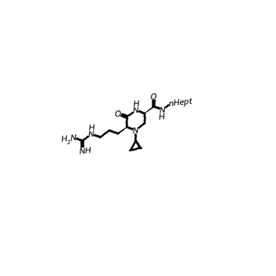 CCCCCCCNC(=O)[C@H]1CN(C2CC2)[C@@H](CCCNC(=N)N)C(=O)N1